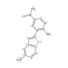 CC(=O)c1cnc(N)c(-c2cc3cc(N)ccc3s2)c1